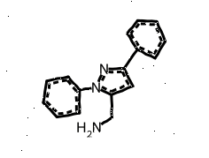 NCc1cc(-c2ccccc2)nn1-c1ccccc1